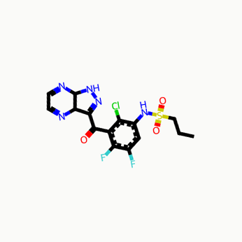 CCCS(=O)(=O)Nc1cc(F)c(F)c(C(=O)C2=NNC3N=CC=NC23)c1Cl